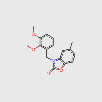 COc1cccc(Cn2c(=O)oc3ccc(C)cc32)c1OC